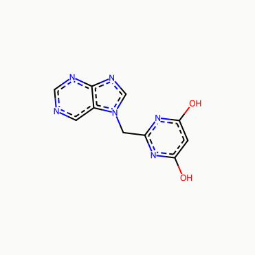 Oc1cc(O)nc(Cn2cnc3ncncc32)n1